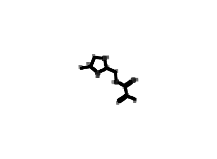 C=C(C)C(=O)OCC1OCC(C)O1